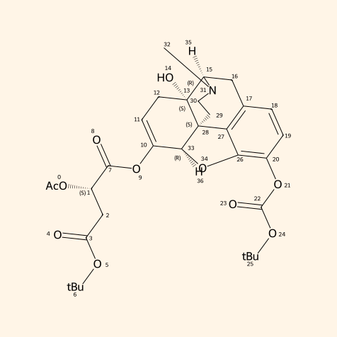 CC(=O)O[C@@H](CC(=O)OC(C)(C)C)C(=O)OC1=CC[C@@]2(O)[C@H]3Cc4ccc(OC(=O)OC(C)(C)C)c5c4[C@@]2(CCN3C)[C@H]1O5